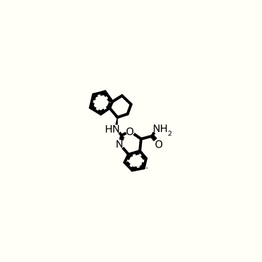 NC(=O)C1OC(N[C@@H]2CCCc3ccccc32)=Nc2cc[c]cc21